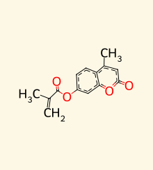 C=C(C)C(=O)Oc1ccc2c(C)cc(=O)oc2c1